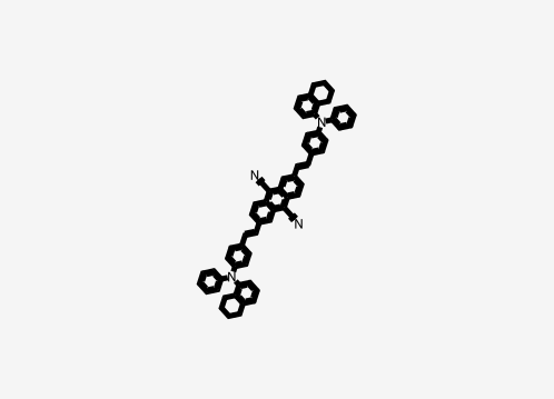 N#Cc1c2ccc(C=Cc3ccc(N(c4ccccc4)c4cccc5c4CCCC5)cc3)cc2c(C#N)c2ccc(C=Cc3ccc(N(c4ccccc4)c4cccc5c4CCCC5)cc3)cc12